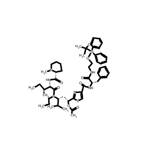 CCCN(C(=O)[C@@H](NC(=O)[C@H]1CCCCN1C)[C@@H](C)CC)[C@H](C[C@@H](OC(C)=O)c1nc(C(=O)N[C@@H](Cc2ccccc2)C(=O)NCCO[Si](c2ccccc2)(c2ccccc2)C(C)(C)C)cs1)C(C)C